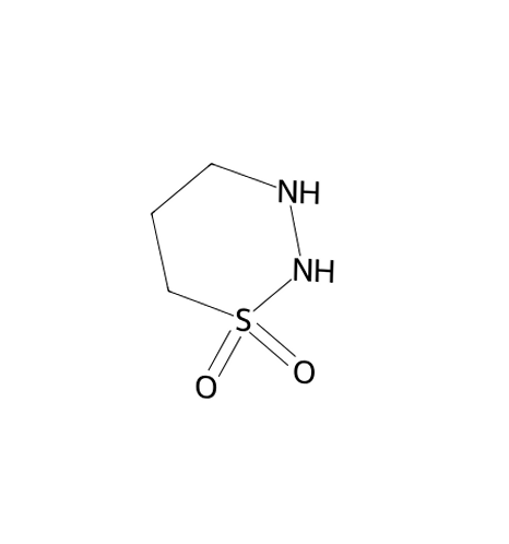 O=S1(=O)CCCNN1